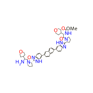 COC(=O)N[C@H](C(=O)N1CCC[C@H]1c1nc2ccc(-c3ccc4cc(-c5ccc6nc([C@@H]7CCCN7C(=O)[C@@H](N)C7CCOCC7)[nH]c6c5)ccc4c3)cc2[nH]1)C1CCOCC1